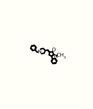 Cn1c2c(c3ccccc31)C/C(=C\C1CCN(Cc3ccccc3)CC1)C2=O